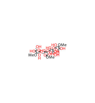 CO[C@@H]1OC(CO[C@@H]2OC(CO)[C@@H](O)[C@H](OC)C2O)[C@@H](O)[C@H](O[C@@H]2OC(CO)[C@@H](O)[C@H](O[C@@H]3OC(CO)[C@@H](O)[C@H](OC)C3O)C2O)C1O